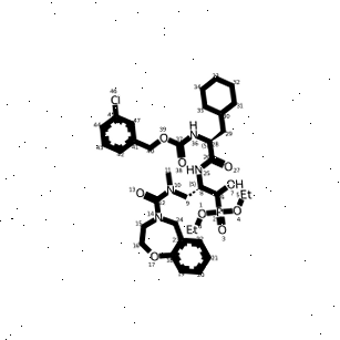 CCOP(=O)(OCC)C(O)[C@H](CN(C)C(=O)N1CCOc2ccccc2C1)NC(=O)[C@H](CC1CCCCC1)NC(=O)OCc1cccc(Cl)c1